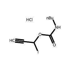 C#CC(I)OC(=O)NCCCC.Cl